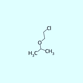 CC(C)OCCCl